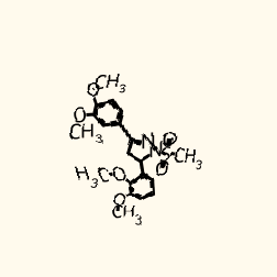 COc1ccc(C2=NN(S(C)(=O)=O)C(c3cccc(OC)c3OC)C2)cc1OC